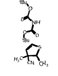 CC(C)(C)OC(=O)NC(=O)OC(C)(C)C.CC1SC=CC1(C)C#N